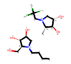 CCCCN1C[C@H](O)[C@@H](O)[C@@H]1CO.C[C@H]1[C@H](O)[C@@H](O)CN1CC(F)(F)F